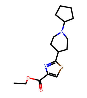 CCOC(=O)c1csc(C2CCN(C3CCCC3)CC2)n1